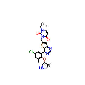 Cc1cc(Cl)cc(-c2ncnc3cc(Cn4c(=O)ccn(CC(F)(F)F)c4=O)sc23)c1O[C@@H]1CNC[C@@H]1C